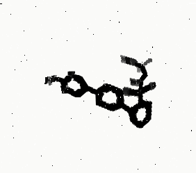 C[C@@H](O)CNS(=O)(=O)c1ccccc1-c1ccc(-c2cnc(N)nc2)cc1